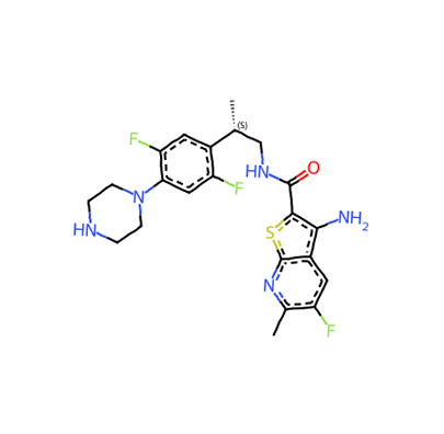 Cc1nc2sc(C(=O)NC[C@@H](C)c3cc(F)c(N4CCNCC4)cc3F)c(N)c2cc1F